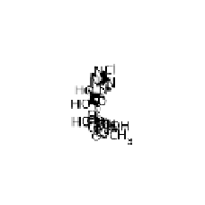 CP(=O)(O)OP(=O)(O)OP(=O)(O)OC[C@H]1O[C@@H](n2cnc3c(Cl)ncnc32)[C@H](O)[C@@H]1O